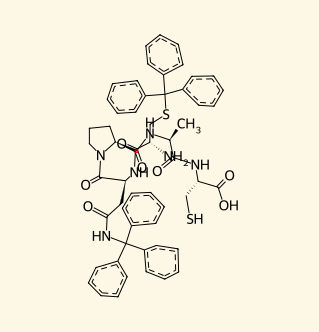 C[C@H](NC(=O)[C@@H]1CCCN1C(=O)[C@H](CC(=O)NC(c1ccccc1)(c1ccccc1)c1ccccc1)NC(=O)[C@@H](N)CSC(c1ccccc1)(c1ccccc1)c1ccccc1)C(=O)N[C@@H](CS)C(=O)O